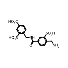 NCc1ccc(C(=O)NCc2ccc(C(=O)O)cc2S(=O)(=O)O)cc1S(=O)(=O)O